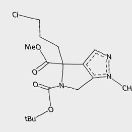 COC(=O)C1(CCCCl)c2cnn(C)c2CN1C(=O)OC(C)(C)C